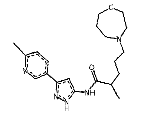 Cc1ccc(-c2cc(NC(=O)C(C)CCCN3CCCOCC3)[nH]n2)cn1